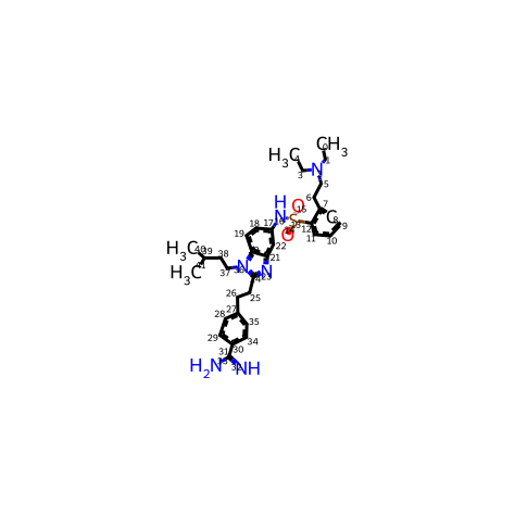 CCN(CC)CCc1ccccc1S(=O)(=O)Nc1ccc2c(c1)nc(CCc1ccc(C(=N)N)cc1)n2CCC(C)C